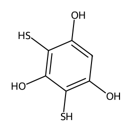 Oc1cc(O)c(S)c(O)c1S